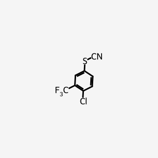 N#CSc1ccc(Cl)c(C(F)(F)F)c1